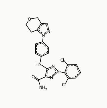 NC(=O)c1nn(-c2c(Cl)cccc2Cl)nc1Nc1ccc(-n2ncc3c2CCOC3)cc1